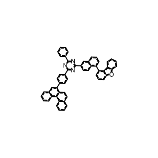 c1ccc(-c2nc(-c3ccc(-c4cc5ccccc5c5c4ccc4ccccc45)cc3)nc(-c3ccc4c(-c5cccc6oc7ccccc7c56)cccc4c3)n2)cc1